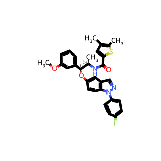 COc1cccc([C@H](Oc2ccc3c(cnn3-c3ccc(F)cc3)c2)[C@H](C)NC(=O)c2cc(C)c(C)s2)c1